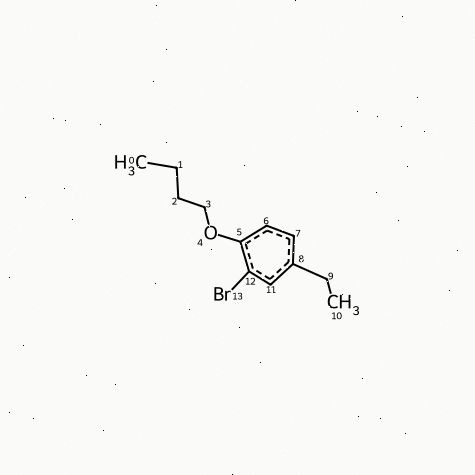 CCCCOc1ccc(CC)cc1Br